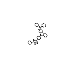 c1ccc(-c2nc(-c3ccc(-n4c5ccccc5c5cc(N(c6ccccc6)c6ccccc6)ncc54)cc3)no2)cc1